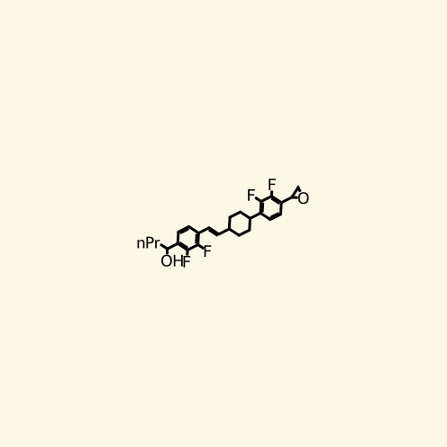 CCCC(O)c1ccc(/C=C/C2CCC(c3ccc(C4CO4)c(F)c3F)CC2)c(F)c1F